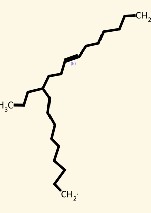 [CH2]CCCCC/C=C/CCC(CCC)CCCCCCCC[CH2]